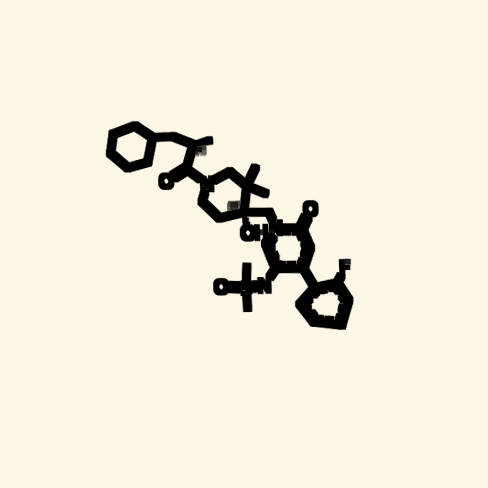 C[C@H](CC1CCCCC1)C(=O)N1CC[C@](O)(Cn2cc(N=S(C)(C)=O)c(-c3ccccc3F)cc2=O)C(C)(C)C1